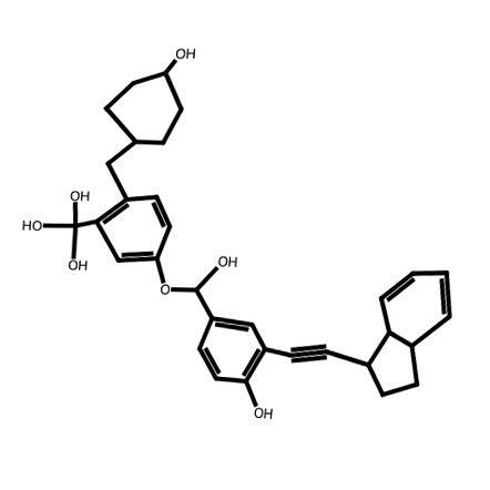 Oc1ccc(C(O)Oc2ccc(CC3CCC(O)CC3)c(C(O)(O)O)c2)cc1C#CC1CCC2C=CC=CC12